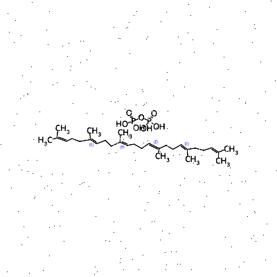 CC(C)=CCC/C(C)=C/CC/C(C)=C/CC/C=C(\C)CC/C=C(\C)CCC=C(C)C.O=P(O)(O)OP(=O)(O)O